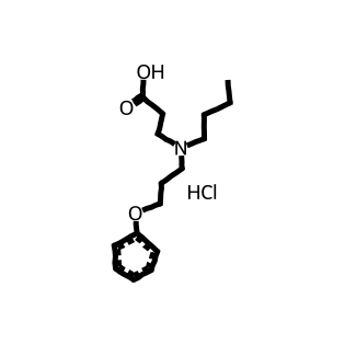 CCCCN(CCCOc1ccccc1)CCC(=O)O.Cl